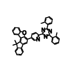 Cc1ccccc1-c1nc(-c2ccc(-c3cc4c(c5c3oc3ccccc35)C(C)(C)c3ccccc3-4)cn2)nc(-c2ccccc2C)n1